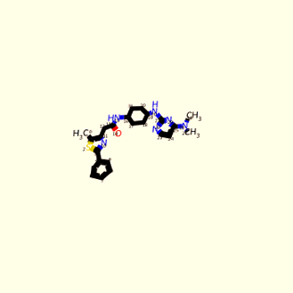 Cc1sc(-c2ccccc2)nc1CC(=O)NC1CCC(Nc2nccc(N(C)C)n2)CC1